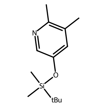 Cc1cc(O[Si](C)(C)C(C)(C)C)cnc1C